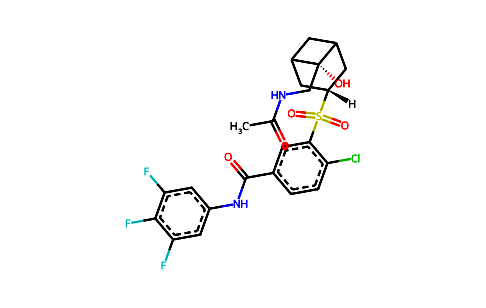 CC(=O)NC[C@]1(O)C2CC1C[C@@H](S(=O)(=O)c1cc(C(=O)Nc3cc(F)c(F)c(F)c3)ccc1Cl)C2